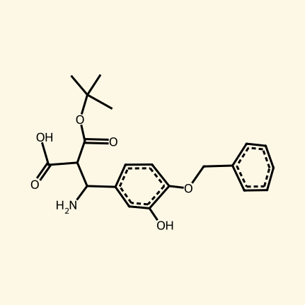 CC(C)(C)OC(=O)C(C(=O)O)C(N)c1ccc(OCc2ccccc2)c(O)c1